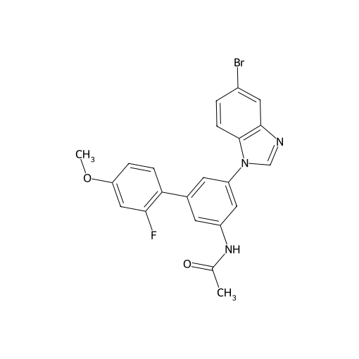 COc1ccc(-c2cc(NC(C)=O)cc(-n3cnc4cc(Br)ccc43)c2)c(F)c1